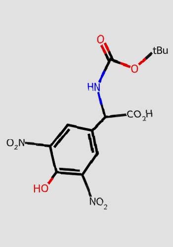 CC(C)(C)OC(=O)NC(C(=O)O)c1cc([N+](=O)[O-])c(O)c([N+](=O)[O-])c1